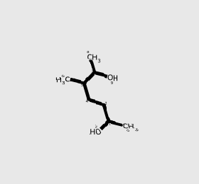 CC(O)CCC(C)C(C)O